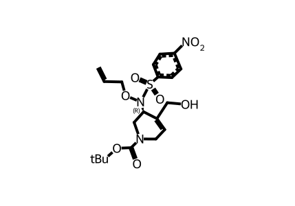 C=CCON([C@H]1CN(C(=O)OC(C)(C)C)CC=C1CO)S(=O)(=O)c1ccc([N+](=O)[O-])cc1